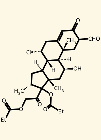 CCC(=O)OCC(=O)C1(OC(=O)CC)[C@H](C)C[C@H]2[C@H]3[C@H]([C@@H](O)C[C@@]21C)[C@@]1(C)CC(C=O)C(=O)C=C1C[C@H]3Cl